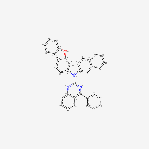 c1ccc(-c2nc(-n3c4cc5ccccc5cc4c4c5oc6ccccc6c5ccc43)nc3ccccc23)cc1